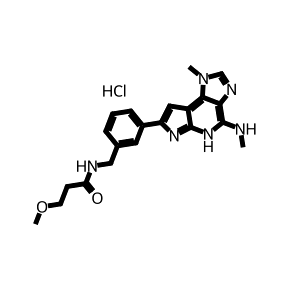 CNc1[nH]c2nc(-c3cccc(CNC(=O)CCOC)c3)cc-2c2c1ncn2C.Cl